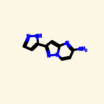 Nc1ccn2nc(-c3ccn[nH]3)cc2n1